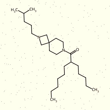 CCCCCCC(CCCCC)C(=O)N1CCC2(CC1)CN(CCCC(C)C)C2